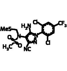 CSCN(c1c(C#N)nn(-c2c(Cl)cc(C(F)(F)F)cc2Cl)c1N)S(C)(=O)=O